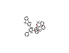 CC1(C)c2ccccc2-c2ccc(-c3cc(-c4ccccc4)nc(-c4ccccc4-c4cccc5c4C4(c6ccccc6Oc6ccccc64)c4ccccc4C5(C)C)n3)cc21